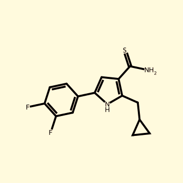 NC(=S)c1cc(-c2ccc(F)c(F)c2)[nH]c1CC1CC1